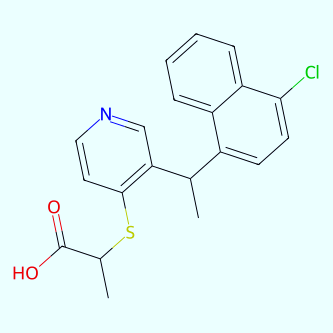 CC(Sc1ccncc1C(C)c1ccc(Cl)c2ccccc12)C(=O)O